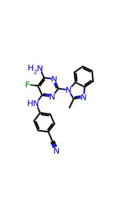 Cc1nc2ccccc2n1-c1nc(N)c(F)c(Nc2ccc(C#N)cc2)n1